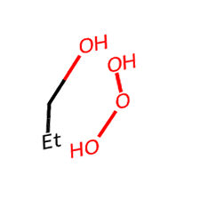 CCCO.OOO